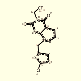 O=c1nc2n(Cc3cnc(Cl)s3)cccc-2c(=O)n1CC(F)(F)F